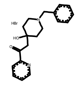 Br.O=C(CC1(O)CCN(Cc2ccccc2)CC1)c1ccccn1